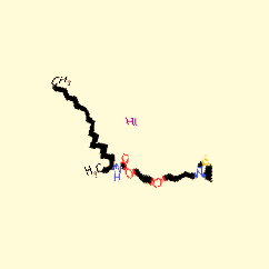 CCCCCCCCCCCCCCCC(CC)NC(=O)OCCCOCCCCN1C=CSC1.I